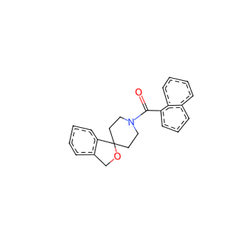 O=C(c1cccc2ccccc12)N1CCC2(CC1)OCc1ccccc12